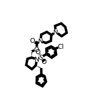 O=C(OC[C@H]1CCC[C@@H](Cc2ccccc2)N1S(=O)(=O)c1ccc(Cl)cc1)N1CCC(N2CCCCC2)CC1